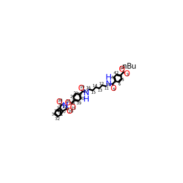 CCCCOC(=O)c1ccc(C(=O)NCCCCCCNC(=O)c2ccc(C(=O)ON3C(=O)C4C5C=CC(C5)C4C3=O)cc2)cc1